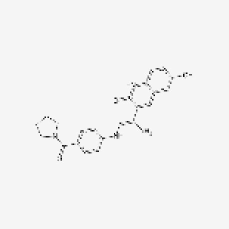 N/C(=C\Nc1ccc(C(=O)N2CCCC2)cc1)c1cc2cc(O)ccc2[nH]c1=O